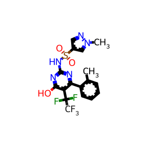 Cc1ccccc1-c1nc(NS(=O)(=O)c2cnn(C)c2)nc(O)c1C(F)(F)C(F)(F)F